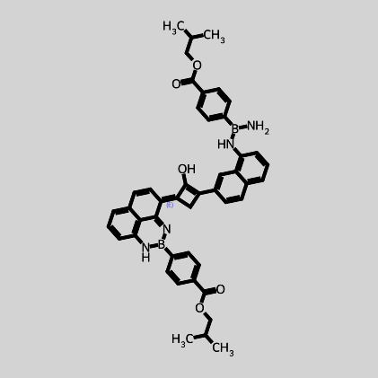 CC(C)COC(=O)c1ccc(B(N)Nc2cccc3ccc(C4=C(O)/C(=c5\ccc6cccc7c6c5=NB(c5ccc(C(=O)OCC(C)C)cc5)N7)C4)cc23)cc1